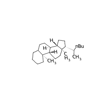 CCCCC(C)[C@H]1CC[C@H]2[C@@H]3CCC4CCCC[C@]4(C)[C@H]3CC[C@]12C